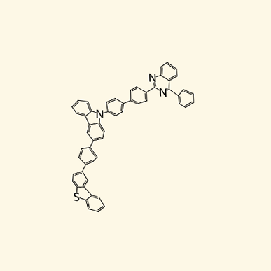 c1ccc(-c2nc(-c3ccc(-c4ccc(-n5c6ccccc6c6cc(-c7ccc(-c8ccc9sc%10ccccc%10c9c8)cc7)ccc65)cc4)cc3)nc3ccccc23)cc1